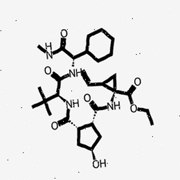 C=CC1C[C@]1(NC(=O)[C@@H]1C[C@@H](O)C[C@@H]1C(=O)N[C@H](C(=O)N[C@H](C(=O)NC)C1CCCCC1)C(C)(C)C)C(=O)OCC